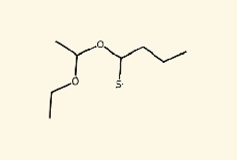 CCCC([S])OC(C)OCC